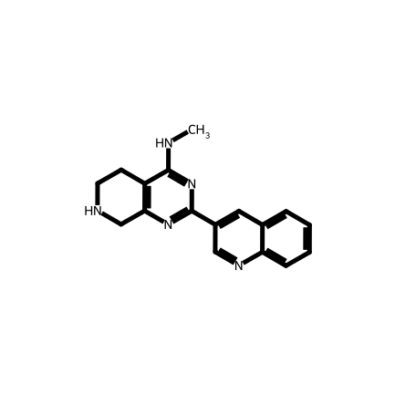 CNc1nc(-c2cnc3ccccc3c2)nc2c1CCNC2